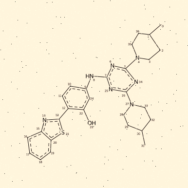 CC1CCN(c2nc(Nc3ccc(-c4nc5ccccc5s4)c(O)c3)nc(N3CCC(C)CC3)n2)CC1